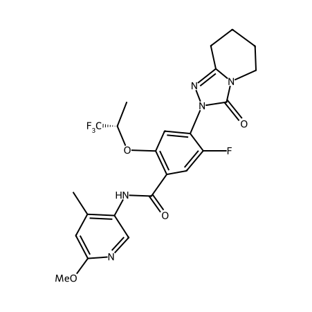 COc1cc(C)c(NC(=O)c2cc(F)c(-n3nc4n(c3=O)CCCC4)cc2O[C@@H](C)C(F)(F)F)cn1